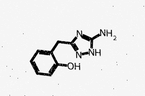 Nc1nc(Cc2ccccc2O)n[nH]1